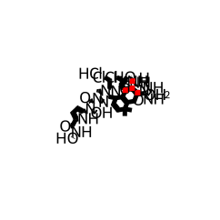 CC1(C)C=CC(c2ncn(C(=O)N(O)c3ccc(C(=O)NO)[nH]3)n2)(N(CCCl)CCCl)C(c2cc[nH]c2C(=O)NO)=C1CC(C(=N)N)C(=O)NO.Cl